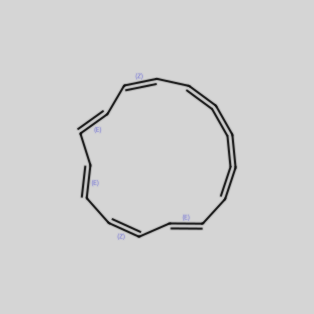 C1=C=C\C=C/C=C/C=C/C=C\C=C\C=C=1